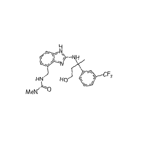 CNC(=O)NCc1cccc2[nH]c(NC(C)(CCO)c3cccc(C(F)(F)F)c3)nc12